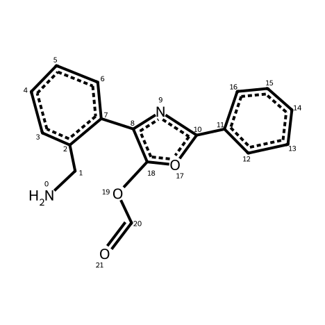 NCc1ccccc1-c1nc(-c2ccccc2)oc1OC=O